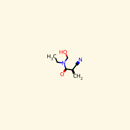 C=C(C#N)C(=O)N(CC)CO